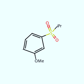 COc1[c]ccc(S(=O)(=O)C(C)C)c1